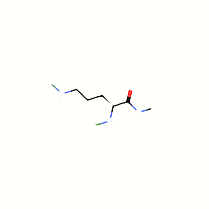 CNC(=O)[C@H](CCCNCl)NCl